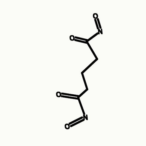 O=NC(=O)CCCC(=O)N=O